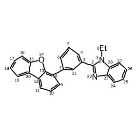 CCn1c(-c2cccc(-c3cccc4c3oc3ccccc34)c2)nc2ccccc21